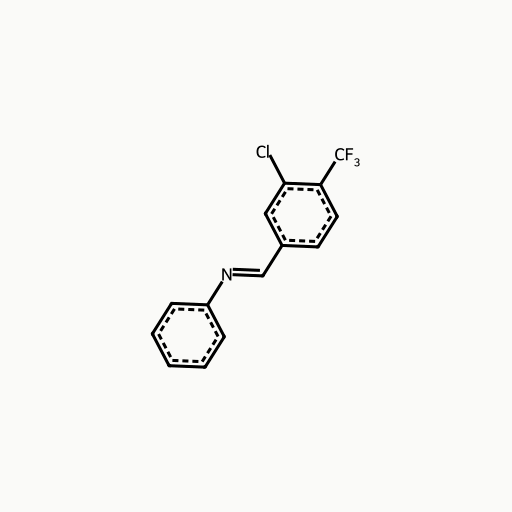 FC(F)(F)c1ccc(C=Nc2ccccc2)cc1Cl